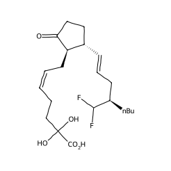 CCCC[C@H](C/C=C/[C@H]1CCC(=O)[C@@H]1C/C=C\CCC(O)(O)C(=O)O)C(F)F